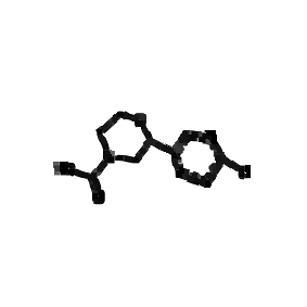 O=C(O)N1CCOC(c2ccc(Cl)nc2)C1